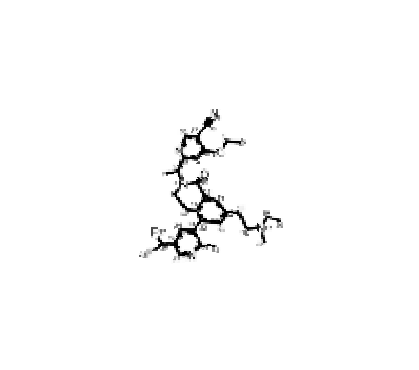 CCOc1cc(C(C)N2CCc3c(cc(CCN(C)CC)cc3-c3cc(C(F)F)cnc3C)C2=O)ncc1C#N